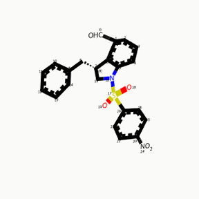 O=Cc1cccc2c1[C@@H](Cc1ccccc1)CN2S(=O)(=O)c1ccc([N+](=O)[O-])cc1